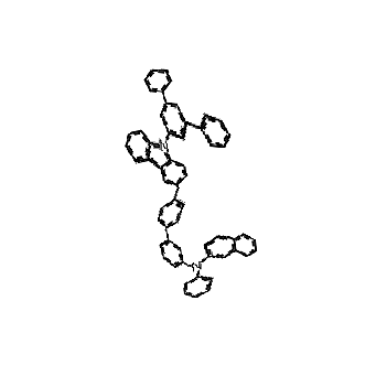 c1ccc(-c2cc(-c3ccccc3)cc(-n3c4ccccc4c4cc(-c5ccc(-c6cccc(N(c7ccccc7)c7ccc8ccccc8c7)c6)cc5)ccc43)c2)cc1